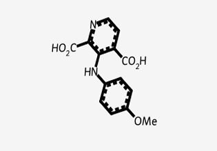 COc1ccc(Nc2c(C(=O)O)ccnc2C(=O)O)cc1